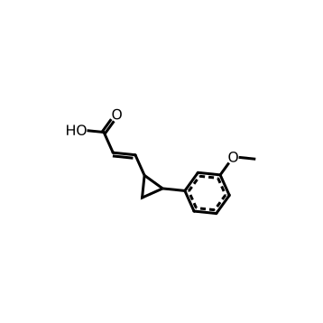 COc1cccc(C2CC2/C=C/C(=O)O)c1